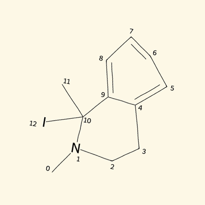 CN1CCc2ccccc2C1(C)I